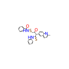 Cc1ccc2cc(C(C(=O)CSNC(=O)c3ccccc3)C(=S)Nc3ccccc3)ccc2n1